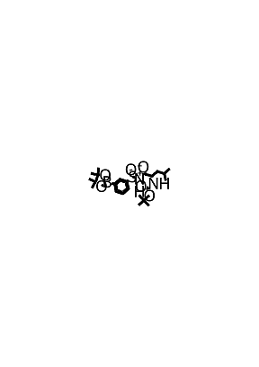 CC(C)CC(NC(=O)OC(C)(C)C)C(=O)N[S+]([O-])c1cccc(B2OC(C)(C)C(C)(C)O2)c1